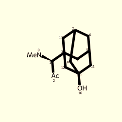 CN[C@H](C(C)=O)C12CC3CC(CC(O)(C3)C1)C2